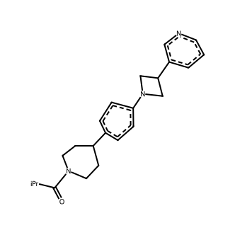 CC(C)C(=O)N1CCC(c2ccc(N3CC(c4cccnc4)C3)cc2)CC1